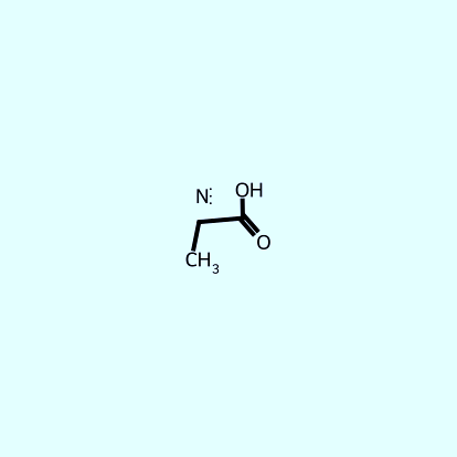 CCC(=O)O.[N]